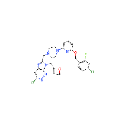 Fc1cc(Cl)ccc1COc1cccc(N2CCN(Cc3nc4cc(Cl)nnc4n3CC3CCO3)CC2)n1